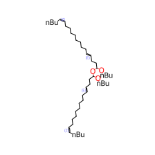 CCCC/C=C\CCCCCCCC/C=C/CCC(OCCCC)OC(CC/C=C/CCCCCCCC/C=C\CCCC)OCCCC